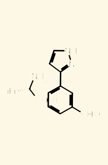 CC(C)[C@H](N)C(=O)O.O=Cc1cccc(-c2cc[nH]n2)c1